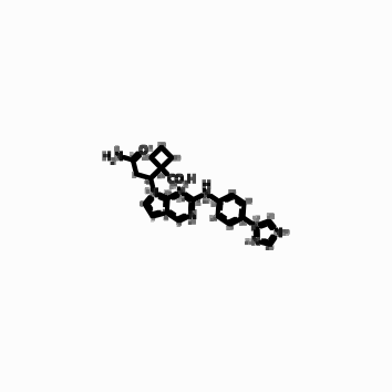 NC(=O)CC(n1ccc2cnc(Nc3ccc(-n4cncn4)cc3)nc21)C1(C(=O)O)CCC1